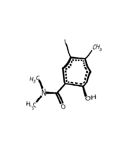 Cc1cc(O)c(C(=O)N(C)C)cc1I